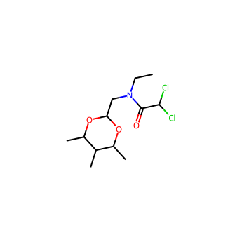 CCN(CC1OC(C)C(C)C(C)O1)C(=O)C(Cl)Cl